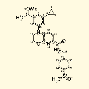 COC(C)c1cc(C2CC2)cc(N2CCOc3nc(C(=O)NCc4ccc([S+](C)[O-])cc4)ccc32)c1